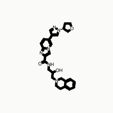 O=C(NCC(O)CN1CCc2ccccc2C1)c1cn2cc(-c3cnn([C@@H]4CCOC4)c3)ccc2n1